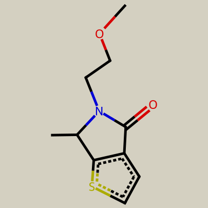 COCCN1C(=O)c2ccsc2C1C